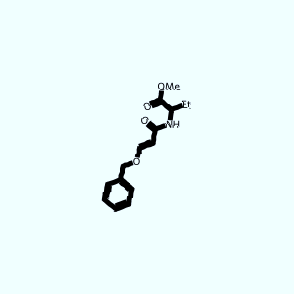 CCC(NC(=O)C=COCc1ccccc1)C(=O)OC